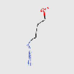 [N-]=[N+]=NCC[CH]O